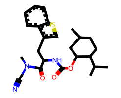 CC1CCC(C(C)C)C(OC(=O)NC(Cc2csc3ccccc23)C(=O)N(C)C#N)C1